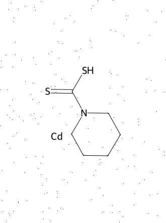 S=C(S)N1CCCCC1.[Cd]